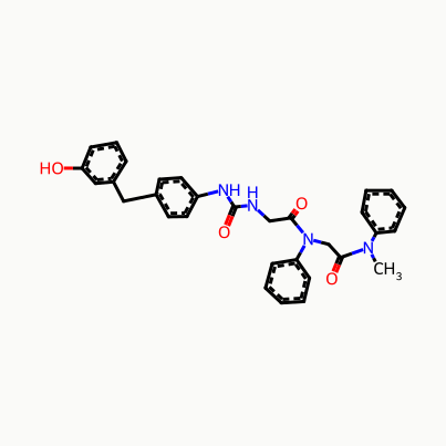 CN(C(=O)CN(C(=O)CNC(=O)Nc1ccc(Cc2cccc(O)c2)cc1)c1ccccc1)c1ccccc1